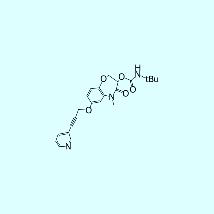 CN1C(=O)[C@@H](OC(=O)NC(C)(C)C)COc2ccc(OCC#Cc3cccnc3)cc21